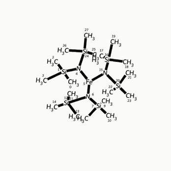 C[Si](C)(C)[N]([Fe]([N]([Si](C)(C)C)[Si](C)(C)C)[N]([Si](C)(C)C)[Si](C)(C)C)[Si](C)(C)C